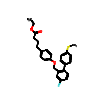 CCOC(=O)CCCc1ccc(OCc2cc(F)ccc2-c2ccc(SC)cc2)cc1